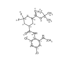 CNc1cc(Cl)nc(Cl)c1NC(=O)C1CN(C(=O)OC(C)(C)C)CC(F)(F)C1